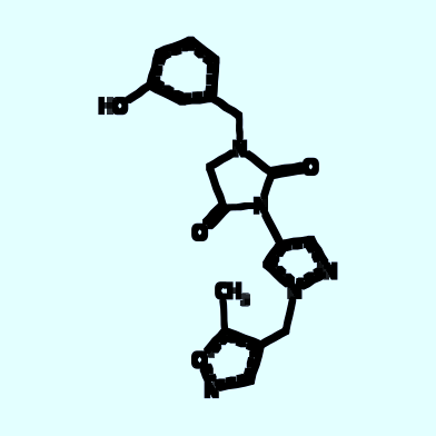 Cc1oncc1Cn1cc(N2C(=O)CN(Cc3cccc(O)c3)C2=O)cn1